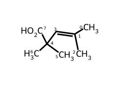 CC(C)=CC(C)(C)C(=O)O